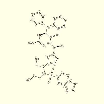 COC(=O)N[C@H](C(=O)N[C@H](c1ccc([C@@H](CO)N(CCC(C)(C)C)S(=O)(=O)c2ccc3nc[nH]c3c2)s1)C(F)(F)F)C(c1ccccc1)c1ccccc1